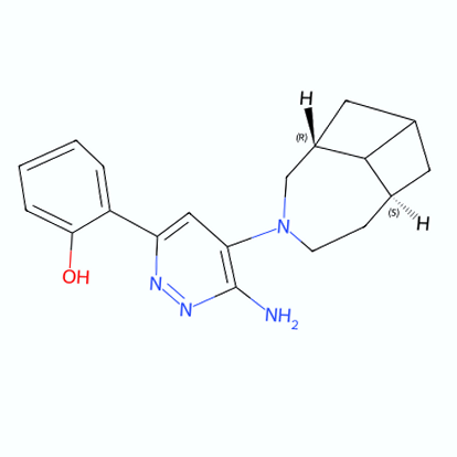 Nc1nnc(-c2ccccc2O)cc1N1CC[C@@H]2CC3C[C@@H](C1)C32